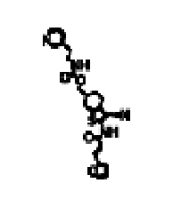 N#Cc1c(NC(=O)C=Cc2ccco2)sc2c1CCC(COC(=O)NCCc1cccnc1)C2